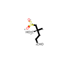 C[C@](CCC=O)(C[SH](=O)=O)C(=O)O